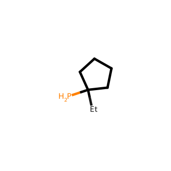 CCC1(P)CCCC1